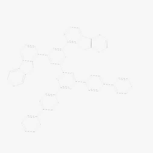 c1ccc(-c2ccc(-c3nc(-c4ccc(-c5ccccc5)cc4)nc(-c4cc(-c5cccc6c5sc5ccccc56)cc(-c5cccc6c5sc5ccccc56)c4)n3)cc2)cc1